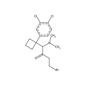 CC(C)CCC(=O)C(N(C)C)C1(c2ccc(Cl)c(Cl)c2)CCC1